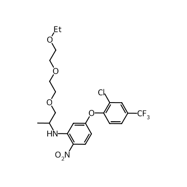 CCOCCOCCOCC(C)Nc1cc(Oc2ccc(C(F)(F)F)cc2Cl)ccc1[N+](=O)[O-]